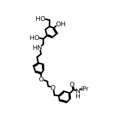 CC(C)NC(=O)c1cccc(COCCOc2ccc(CCNCC(O)C3=CC=C(O)C(CO)C3)cc2)c1